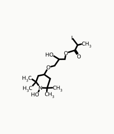 CC(I)C(=O)OCC(O)COC1CC(C)(C)N(O)C(C)(C)C1